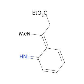 CCOC(=O)C/C(NC)=C1\C=CC=CC1=N